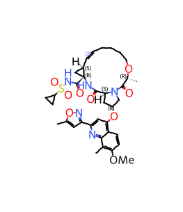 COc1ccc2c(O[C@@H]3C[C@H]4C(=O)N[C@]5(C(=O)NS(=O)(=O)C6CC6)C[C@H]5/C=C\CCCCO[C@H](C)C(=O)N4C3)cc(-c3cc(C)on3)nc2c1C